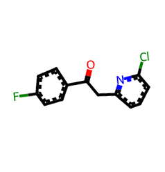 O=C(Cc1cccc(Cl)n1)c1ccc(F)cc1